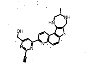 C#Cc1nc(CO)cc(-c2ccc3c(ccc4sc5c(c43)NC[C@@H](C)NC5)n2)n1